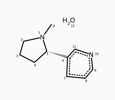 CN1CCC[C@H]1c1cccnc1.O